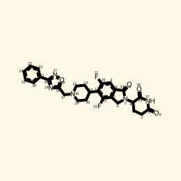 O=C1CCC(N2Cc3c(cc(F)c(C4CCN(Cc5nc(-c6ccccc6)no5)CC4)c3F)C2=O)C(=O)N1